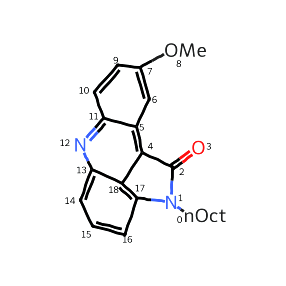 CCCCCCCCN1C(=O)c2c3cc(OC)ccc3nc3cccc1c23